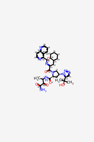 CC(NC(=O)[C@@H]1C[C@H](n2nncc2C(C)(C)O)CN1C(=O)/C(CC1CCCCC1)=N/C(=O)c1nccc2ncccc12)C(=O)C(N)=O